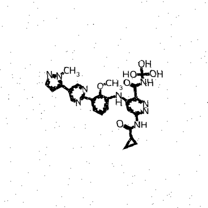 COc1c(Nc2cc(NC(=O)C3CC3)nnc2C(=O)NC(O)(O)O)cccc1-c1ncc(-c2ccnn2C)cn1